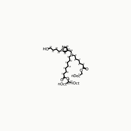 CCCCCCCCCCCOC(=O)CCCCCN(CCCCCCCC(=O)OC(CCCCCCCC)CCCCCCCC)Cc1cnn(CCCCO)c1